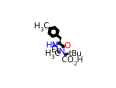 CCN[C@@H](Cc1ccc(C)cc1)C(=O)N(C)C(C(=O)O)C(C)(C)C